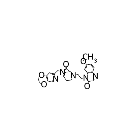 COc1ccc2ncc(=O)n(CCN3CCC4CC3C(=O)N4Cc3cc4c(cn3)OCCO4)c2c1